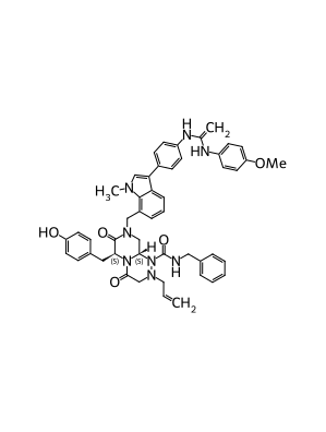 C=CCN1CC(=O)N2[C@@H](Cc3ccc(O)cc3)C(=O)N(Cc3cccc4c(-c5ccc(NC(=C)Nc6ccc(OC)cc6)cc5)cn(C)c34)C[C@@H]2N1C(=O)NCc1ccccc1